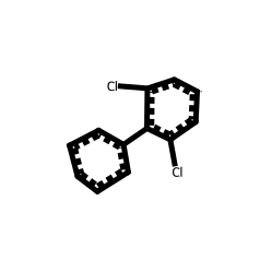 Clc1c[c]cc(Cl)c1-c1ccccc1